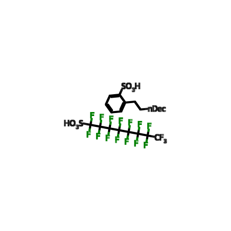 CCCCCCCCCCCCc1ccccc1S(=O)(=O)O.O=S(=O)(O)C(F)(F)C(F)(F)C(F)(F)C(F)(F)C(F)(F)C(F)(F)C(F)(F)C(F)(F)F